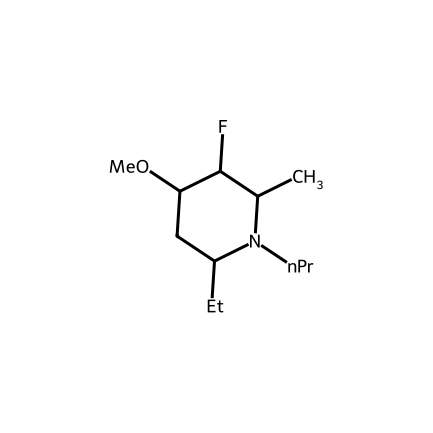 CCCN1C(CC)CC(OC)C(F)C1C